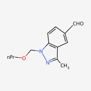 CCCOCn1nc(C)c2cc(C=O)ccc21